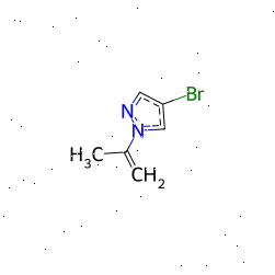 C=C(C)n1cc(Br)cn1